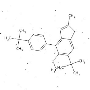 COc1c(C(C)(C)C)cc2c(c1-c1ccc(C(C)(C)C)cc1)C=C(C)[CH]2